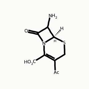 CC(=O)C1=C(C(=O)O)N2C(=O)C(N)[C@H]2SC1